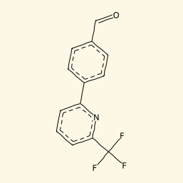 O=Cc1ccc(-c2cccc(C(F)(F)F)n2)cc1